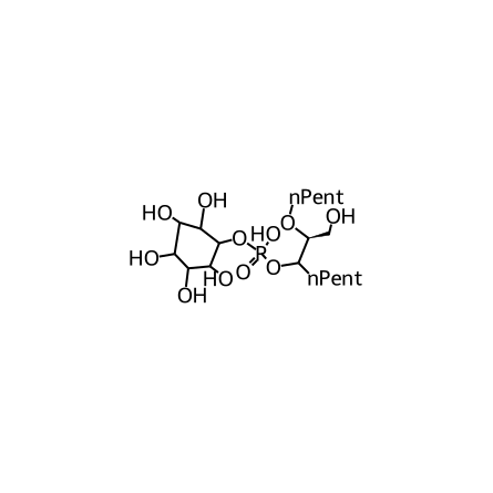 CCCCCO[C@@H](CO)C(CCCCC)OP(=O)(O)OC1C(O)C(O)C(O)C(O)C1O